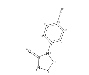 O=C1[N]CCN1c1ccc(F)cc1